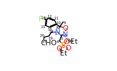 CCOP(=O)(CC1=NOC(C)(c2ccc(F)cc2)N1CCCC=O)OCC